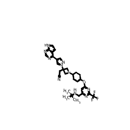 CC(C)(C)NCc1cc(OC2CCC(N3CC(CC#N)(n4cc(-c5ncnc6[nH]ccc56)cn4)C3)CC2)nc(C(F)(F)F)n1